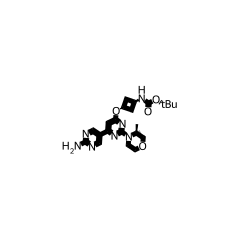 C[C@H]1COCCN1c1nc(O[C@H]2C[C@H](NC(=O)OC(C)(C)C)C2)cc(-c2cnc(N)nc2)n1